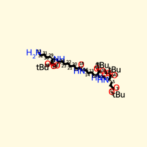 CC(C)(C)OC(=O)CC[C@H](NC(=O)N[C@@H](CCCCNC(=O)CCCCCCC(=O)N[C@H](CCCCN)C(=O)OC(C)(C)C)C(=O)OC(C)(C)C)C(=O)OC(C)(C)C